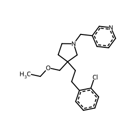 CCOCC1(CCc2ccccc2Cl)CCN(Cc2cccnc2)C1